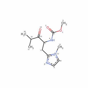 COC(=O)NC(Cc1nccn1C)C(=O)C(C)C